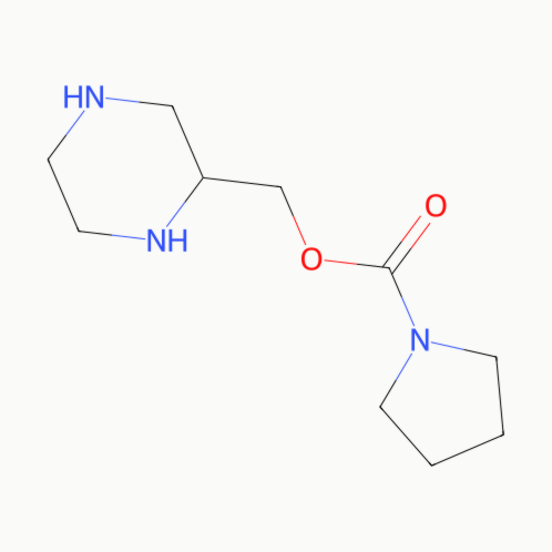 O=C(OCC1CNCCN1)N1CCCC1